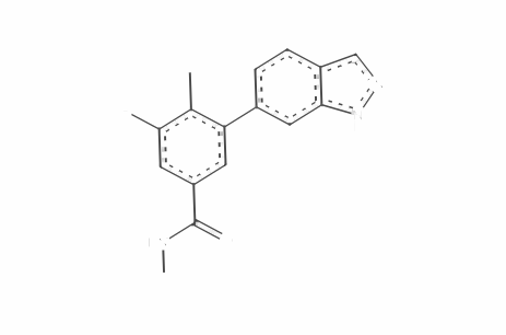 CCNC(=O)c1cc(F)c(C)c(-c2ccc3cn[nH]c3c2)c1